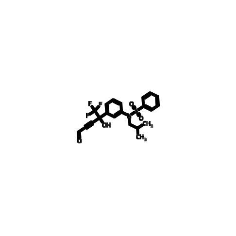 CC(C)CN(c1cccc(C(O)(C#CC=O)C(F)(F)F)c1)S(=O)(=O)c1ccccc1